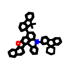 CC1(C)c2ccccc2-c2cccc(-c3ccc(N(c4ccc5c(c4)C4(CCCCC4)c4ccccc4-5)c4ccccc4-c4cccc5oc6c7ccccc7ccc6c45)cc3)c21